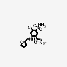 NS(=O)(=O)c1cc(C([O-])=S)c(NCc2ccco2)cc1Cl.[Na+]